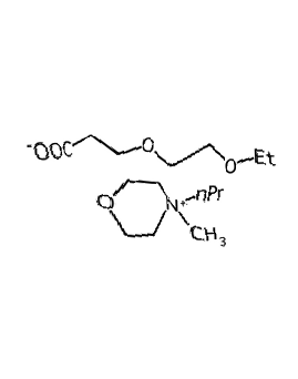 CCC[N+]1(C)CCOCC1.CCOCCOCCC(=O)[O-]